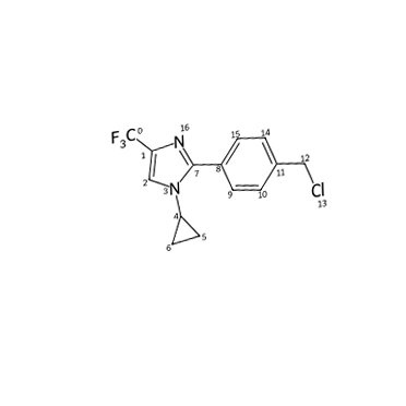 FC(F)(F)c1cn(C2CC2)c(-c2ccc(CCl)cc2)n1